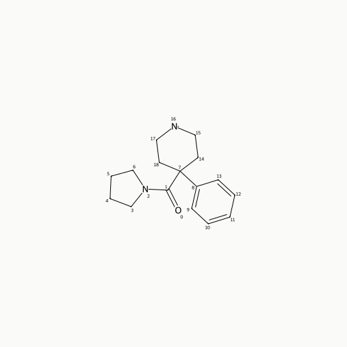 O=C(N1CCCC1)C1(c2ccccc2)CC[N]CC1